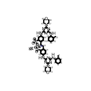 Cc1ccccc1Nc1nc(Nc2ccc(/C=C/c3ccc(Nc4nc(Nc5ccccc5C)nc(N5CCOCC5)n4)cc3S(=O)(=O)[O-])c(S(=O)(=O)[O-])c2)nc(N2CCOCC2)n1.[K+].[K+]